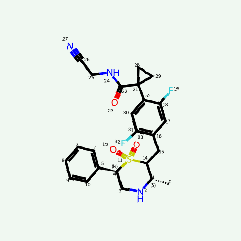 C[C@@H]1NC[C@@H](c2ccccc2)S(=O)(=O)C1Cc1cc(F)c(C2(C(=O)NCC#N)CC2)cc1F